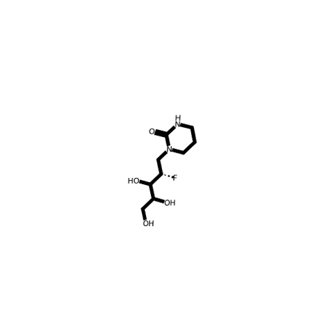 O=C1NCCCN1C[C@H](F)C(O)C(O)CO